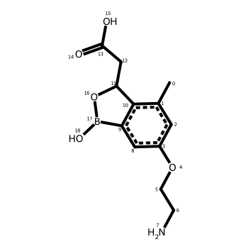 Cc1cc(OCCN)cc2c1C(CC(=O)O)OB2O